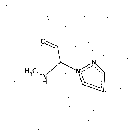 CNC(C=O)n1c[c]cn1